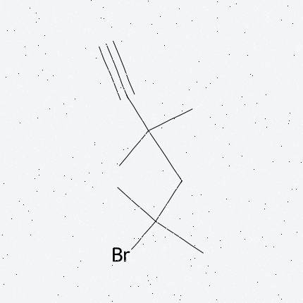 C#CC(C)(C)CC(C)(C)Br